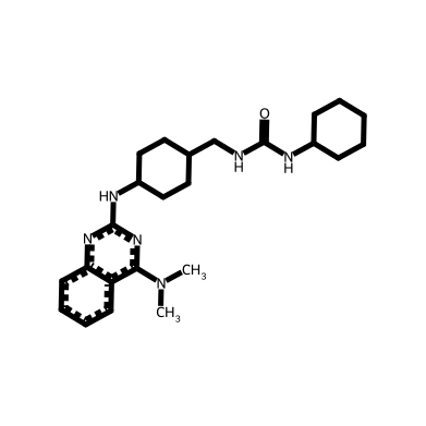 CN(C)c1nc(NC2CCC(CNC(=O)NC3CCCCC3)CC2)nc2ccccc12